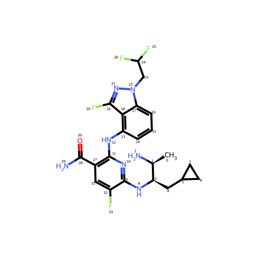 C[C@H](N)[C@@H](CC1CC1)Nc1nc(Nc2cccc3c2c(F)nn3CC(F)F)c(C(N)=O)cc1F